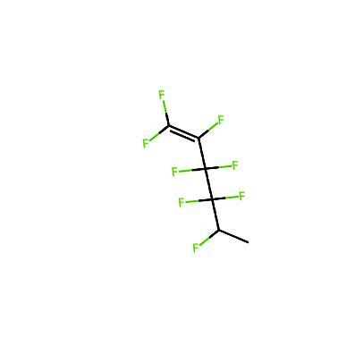 CC(F)C(F)(F)C(F)(F)C(F)=C(F)F